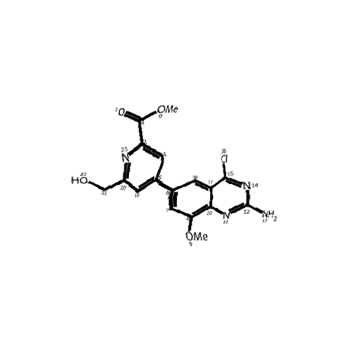 COC(=O)c1cc(-c2cc(OC)c3nc(N)nc(Cl)c3c2)cc(CO)n1